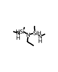 CCN([SiH](C)NC)[SiH](C)NC